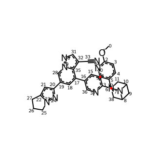 COc1ccc(CN2C3CC2CN(c2ccc(-c4cc(-c5cc6n(n5)CCC6)cn5ncc(C#N)c45)cn2)C3)cn1